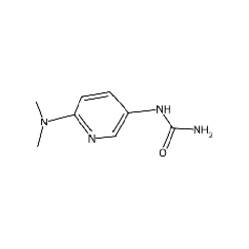 CN(C)c1ccc(NC(N)=O)cn1